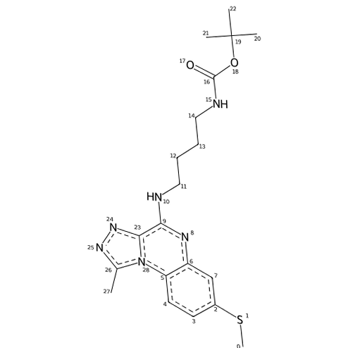 CSc1ccc2c(c1)nc(NCCCCNC(=O)OC(C)(C)C)c1nnc(C)n12